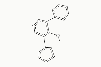 COc1c(-c2ccccc2)c[c]cc1-c1ccccc1